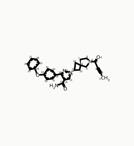 CC#CC(=O)N1CC[C@]2(C1)C[C@@H](n1cc(C(N)=O)c(-c3ccc(Oc4ccccc4)cc3)n1)C2